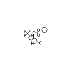 O=C(Oc1ccccc1)On1c(C(F)(F)F)nc2ncc(Cl)cc21